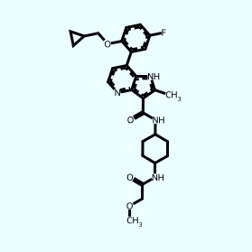 COCC(=O)NC1CCC(NC(=O)c2c(C)[nH]c3c(-c4cc(F)ccc4OCC4CC4)ccnc23)CC1